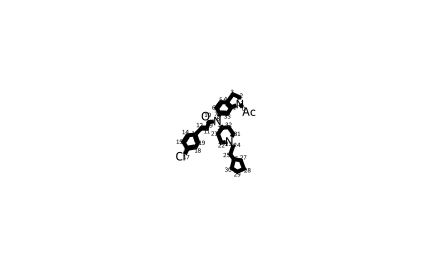 CC(=O)N1CCc2ccc(N(C(=O)C=Cc3ccc(Cl)cc3)C3CCN(CCC4CCCC4)CC3)cc21